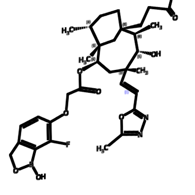 CC(=O)CC[C@]12CC[C@@H](C)[C@](C)(C1)[C@H](OC(=O)COc1ccc3c(c1F)B(O)OC3)C[C@@](C)(/C=C/c1nnc(C)o1)[C@@H](O)[C@@H]2C